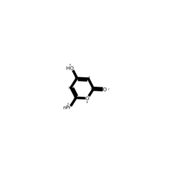 CCCc1cc(O)cc(=O)o1